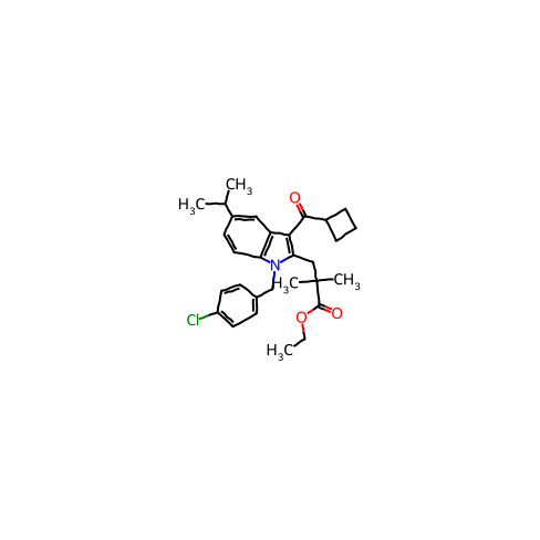 CCOC(=O)C(C)(C)Cc1c(C(=O)C2CCC2)c2cc(C(C)C)ccc2n1Cc1ccc(Cl)cc1